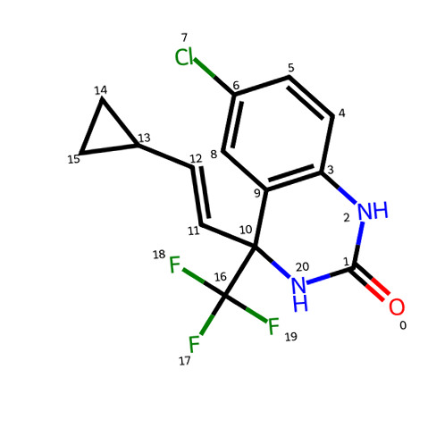 O=C1Nc2ccc(Cl)cc2C(/C=C/C2CC2)(C(F)(F)F)N1